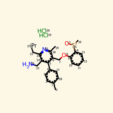 Cc1ccc(-c2c(COc3ccccc3[S+](C)[O-])c(C)nc(CC(C)C)c2CN)cc1.Cl.Cl